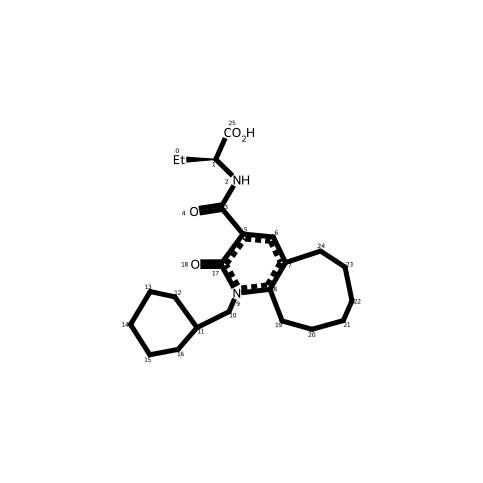 CC[C@H](NC(=O)c1cc2c(n(CC3CCCCC3)c1=O)CCCCCC2)C(=O)O